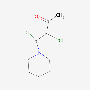 CC(=O)[C](Cl)C(Cl)N1CCCCC1